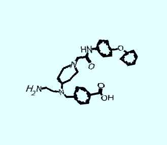 NCCN(Cc1ccc(C(=O)O)cc1)C1CCN(CC(=O)Nc2ccc(Oc3ccccc3)cc2)CC1